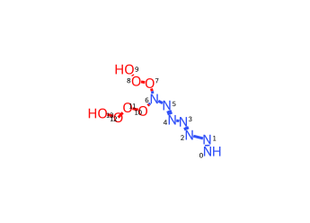 N=N/N=N/N=N/N(OOO)OOOO